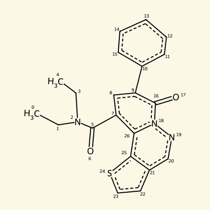 CCN(CC)C(=O)c1cc(-c2ccccc2)c(=O)n2ncc3ccsc3c12